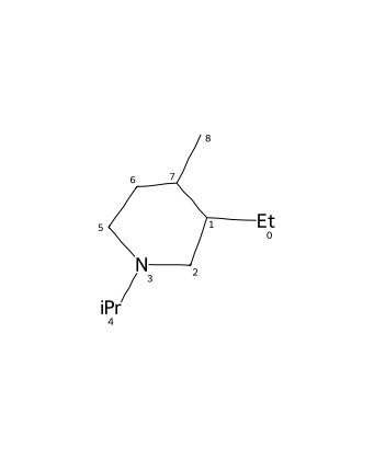 CCC1CN(C(C)C)CCC1C